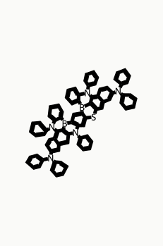 c1ccc(N(c2ccccc2)c2ccc3c4c5c(cc3c2)Sc2cc3c(cc2B5c2ccccc2N4c2ccccc2)B2c4ccccc4N(c4ccccc4)c4c2c(cc2cc(N(c5ccccc5)c5ccccc5)ccc42)N3c2ccccc2)cc1